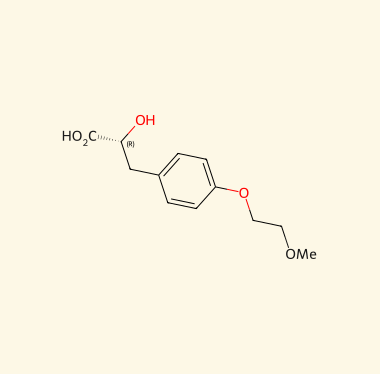 COCCOc1ccc(C[C@@H](O)C(=O)O)cc1